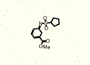 COC(=O)C1=CC=CC(=NS(=O)(=O)C2CCCC2)C1